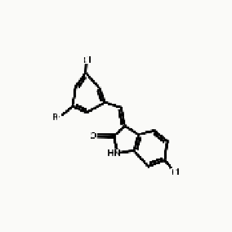 O=C1Nc2cc(Cl)ccc2C1=Cc1cc(Cl)cc(Br)c1